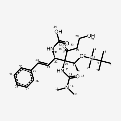 C[C@H](O[Si](C)(C)C(C)(C)C)[C@@](NC(=O)N(C)C)(C(=O)CCO)[C@@H](/C=C/c1ccccc1)NC(=O)O